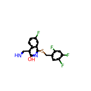 N=Cc1c(O)nc(SCc2cc(F)c(F)cc2F)c2cc(F)ccc12